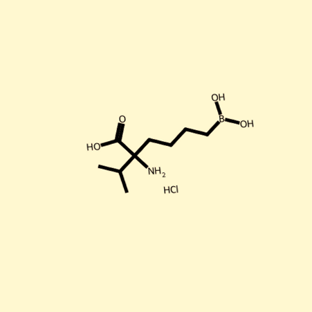 CC(C)C(N)(CCCCB(O)O)C(=O)O.Cl